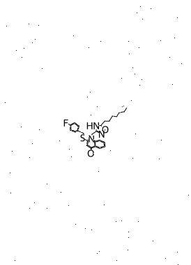 CCCCCCCC1NC(Cn2c(SCc3ccc(F)cc3)cc(=O)c3ccccc32)=NO1